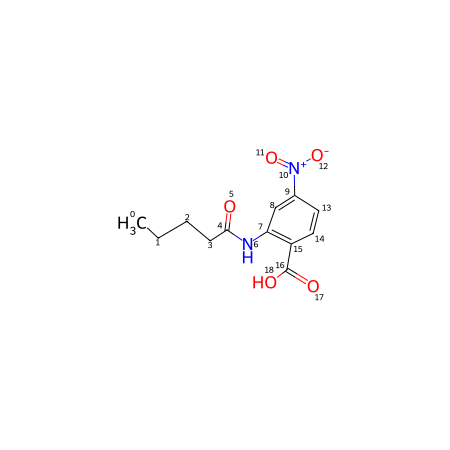 CCCCC(=O)Nc1cc([N+](=O)[O-])ccc1C(=O)O